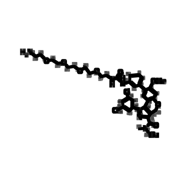 COc1cc2c(cc1-c1cccc(NC(=O)NCCOCCOCCOCCOCCN)c1)-c1c(c(C(=O)N(C)C(C)(C)C)nn1-c1cc(Cl)cc(Cl)c1)CO2